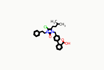 CC(C)CCc1c(Cl)n(CCc2ccccc2)c(=O)n1Cc1ccc(-c2ccccc2C(=O)O)cc1